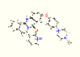 CC(=O)N1CCN(c2ccc(Oc3ccc4nc(-c5ccccc5C)n(CC5CCCNC5)c(=O)c4c3)cc2)CC1